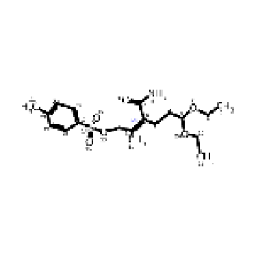 CCOC(CC/C(C(N)=O)=C(\C)COS(=O)(=O)c1ccc(C)cc1)OCC